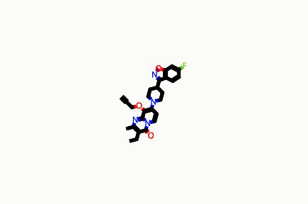 C#CCOc1c(N2CCC(c3noc4cc(F)ccc34)CC2)ccn2c(=O)c(CC)c(C)nc12